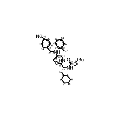 CC(C)(C)OC(=O)N[C@H](CC1CCCCC1)C(=O)N[C@@H](Cc1ccccc1)C(=O)NCc1ccc(C#N)cc1